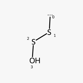 [C]SSO